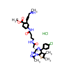 CNCC#Cc1cc(NC(=O)CCCNC(=O)C[C@@H]2N=C(c3ccc(Cl)cc3)c3c(sc(C)c3C)-n3c(C)nnc32)ccc1C(=O)OC.Cl